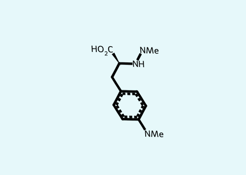 CNN[C@@H](Cc1ccc(NC)cc1)C(=O)O